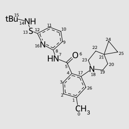 Cc1ccc(C(=O)Nc2cccc(SNC(C)(C)C)n2)c(N2CCC3(CC2)CC3)c1